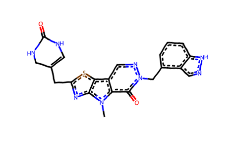 Cn1c2nc(CC3=CNC(=O)NC3)sc2c2cnn(Cc3cccc4[nH]ncc34)c(=O)c21